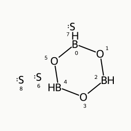 B1OBOBO1.[S].[S].[S]